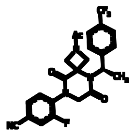 CC(=O)N1CC2(C1)C(=O)N(c1ccc(C#N)cc1F)CC(=O)N2[C@H](C)c1ccc(C(F)(F)F)cc1